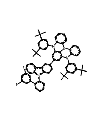 CC(C)(C)c1cc(N2c3ccccc3B3c4ccccc4N(c4cc(C(C)(C)C)cc(C(C)(C)C)c4)c4cc(-c5ccc6c(c5)c5ccccc5n6-c5ccccc5-c5cc(F)cc(F)c5)cc2c43)cc(C(C)(C)C)c1